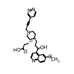 COc1ccc2nccc([C@H](O)CC[C@@H]3CCN(CC#Cc4ccnnc4)C[C@H]3CCC(=O)O)c2c1